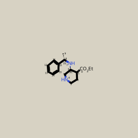 CCOC(=O)C1CCNC[C@@H]1N[C@@H](C)c1ccccc1